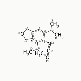 CC(C)c1cc2c(c(C(C)C)c1N=C=O)COC2